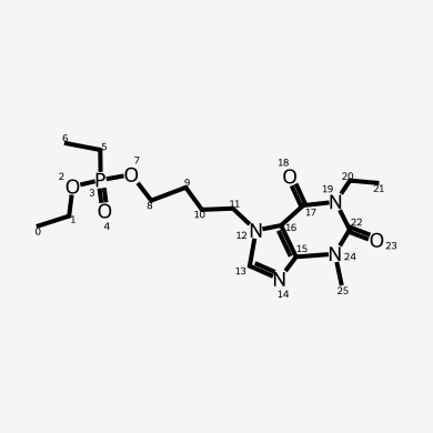 CCOP(=O)(CC)OCCCCn1cnc2c1c(=O)n(CC)c(=O)n2C